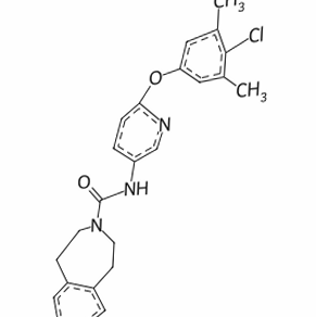 Cc1cc(Oc2ccc(NC(=O)N3CCc4ccccc4CC3)cn2)cc(C)c1Cl